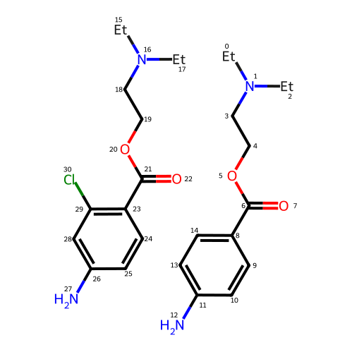 CCN(CC)CCOC(=O)c1ccc(N)cc1.CCN(CC)CCOC(=O)c1ccc(N)cc1Cl